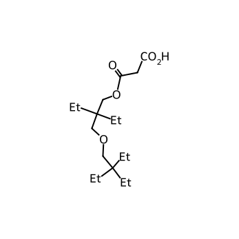 CCC(CC)(CC)COCC(CC)(CC)COC(=O)CC(=O)O